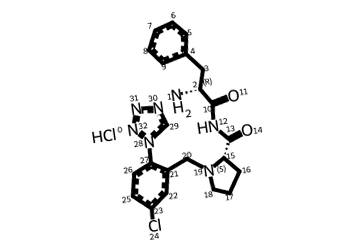 Cl.N[C@H](Cc1ccccc1)C(=O)NC(=O)[C@@H]1CCCN1Cc1cc(Cl)ccc1-n1cnnn1